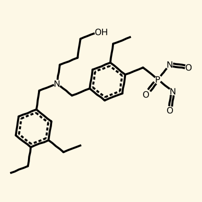 CCc1ccc(CN(CCCO)Cc2ccc(CP(=O)(N=O)N=O)c(CC)c2)cc1CC